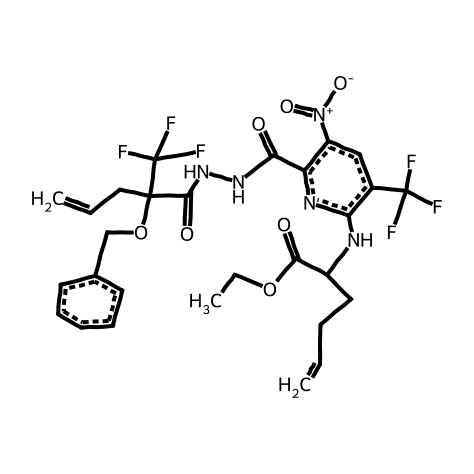 C=CCCC(Nc1nc(C(=O)NNC(=O)C(CC=C)(OCc2ccccc2)C(F)(F)F)c([N+](=O)[O-])cc1C(F)(F)F)C(=O)OCC